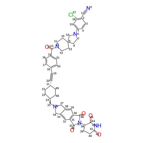 N#Cc1ccc(N2CCC3(CCN(C(=O)c4ccc(C#C[C@H]5CC[C@H](CN6Cc7cc8c(cc7C6)C(=O)N(C6CCC(=O)NC6=O)C8=O)CC5)cc4)CC3)C2)cc1Cl